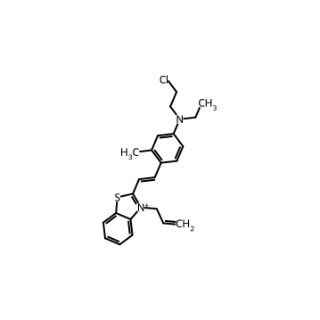 C=CC[n+]1c(/C=C/c2ccc(N(CC)CCCl)cc2C)sc2ccccc21